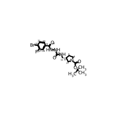 CC(C)(C)OC(=O)N1CC[C@@H](CNC(=O)NNC(=O)c2ccc(Br)c(F)c2)C1